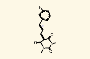 CN1C(=O)C(=C/C=C/c2cccc(F)c2)C(=O)N(C)C1=O